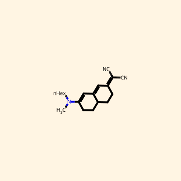 CCCCCCN(C)C1=CC2=CC(=C(C#N)C#N)CCC2CC1